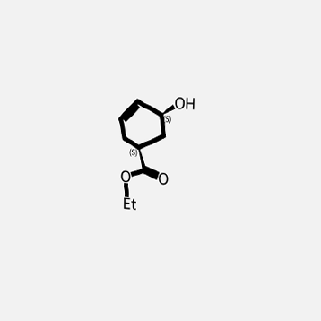 CCOC(=O)[C@H]1CC=C[C@@H](O)C1